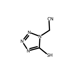 N#CCn1nnnc1S